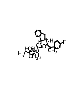 C[C@H](C(=O)N[C@H]1Cc2ccccc2[C@@H]1N1CC(O[Si](C)(C)C(C)(C)C)C1)c1ccc(F)cc1